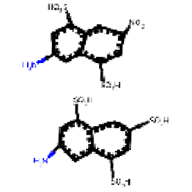 Nc1cc(S(=O)(=O)O)c2cc(S(=O)(=O)O)cc(S(=O)(=O)O)c2c1.Nc1cc(S(=O)(=O)O)c2cc([N+](=O)[O-])cc(S(=O)(=O)O)c2c1